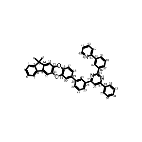 CC1(C)c2ccccc2-c2cc3c(cc21)Oc1ccc(-c2cccc(-c4cc(-c5ccccc5)nc(-c5cccc(-c6ccccn6)c5)n4)c2)cc1O3